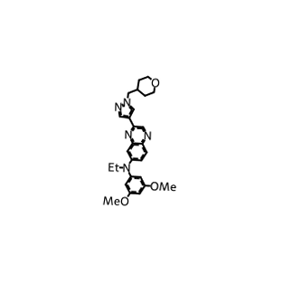 CCN(c1cc(OC)cc(OC)c1)c1ccc2ncc(-c3cnn(CC4CCOCC4)c3)nc2c1